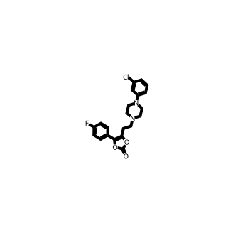 O=c1oc(CCN2CCN(c3cccc(Cl)c3)CC2)c(-c2ccc(F)cc2)o1